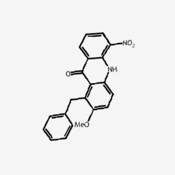 COc1ccc2[nH]c3c([N+](=O)[O-])cccc3c(=O)c2c1Cc1ccccc1